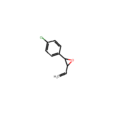 C=CC1OC1c1ccc(Cl)cc1